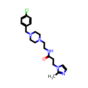 Cc1nccn1CCC(=O)NCCN1CCN(Cc2ccc(Cl)cc2)CC1